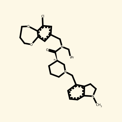 CC(C)CN(Cc1cc(Cl)c2c(c1)OCCCO2)C(=O)[C@@H]1CCCN(Cc2cccc3c2CCN3C)C1